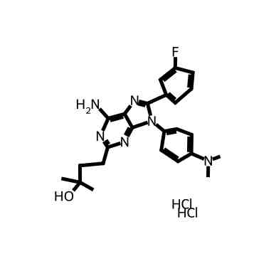 CN(C)c1ccc(-n2c(-c3cccc(F)c3)nc3c(N)nc(CCC(C)(C)O)nc32)cc1.Cl.Cl